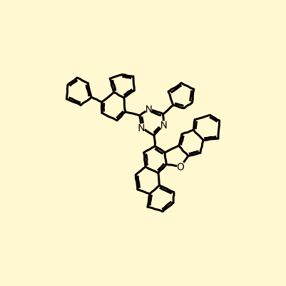 c1ccc(-c2nc(-c3ccc(-c4ccccc4)c4ccccc34)nc(-c3cc4ccc5ccccc5c4c4oc5cc6ccccc6cc5c34)n2)cc1